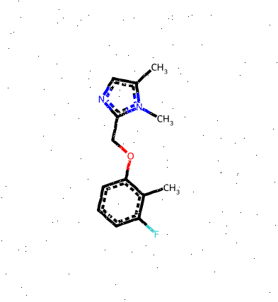 Cc1c(F)cccc1OCc1ncc(C)n1C